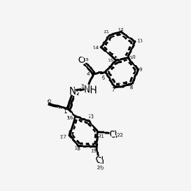 CC(=NNC(=O)c1cccc2ccccc12)c1ccc(Cl)c(Cl)c1